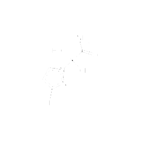 CC(C)(C(N)=O)n1ccc(I)n1